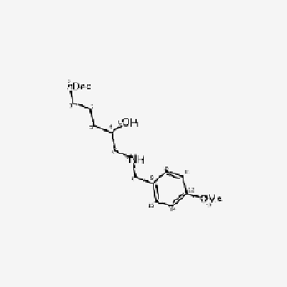 CCCCCCCCCCCCCC(O)CNCc1ccc(OC)cc1